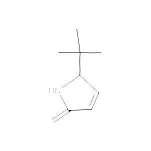 C=C1C=CC(C(C)(C)C)N1